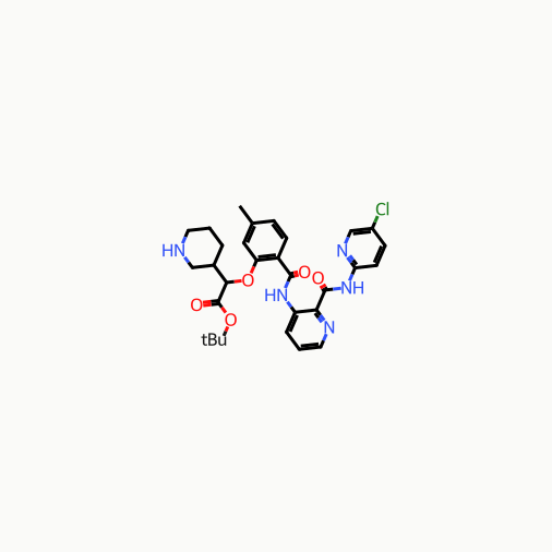 Cc1ccc(C(=O)Nc2cccnc2C(=O)Nc2ccc(Cl)cn2)c(OC(C(=O)OC(C)(C)C)C2CCCNC2)c1